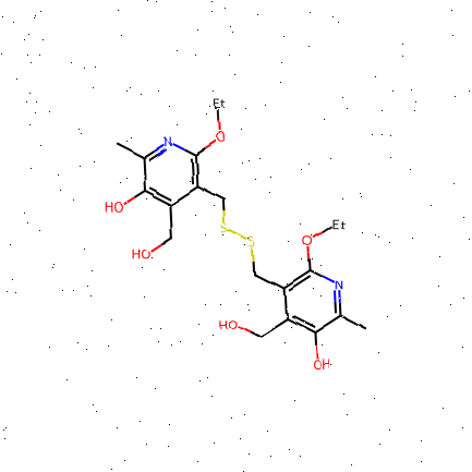 CCOc1nc(C)c(O)c(CO)c1CSSCc1c(OCC)nc(C)c(O)c1CO